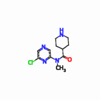 CN(C(=O)C1CCNCC1)c1cncc(Cl)n1